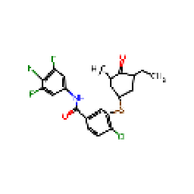 CCC1CC(Sc2cc(C(=O)Nc3cc(F)c(F)c(F)c3)ccc2Cl)CC(C)C1=O